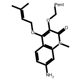 CCCC(C)COc1c(OCC=C(C)C)c2ccc(N)cc2n(C)c1=O